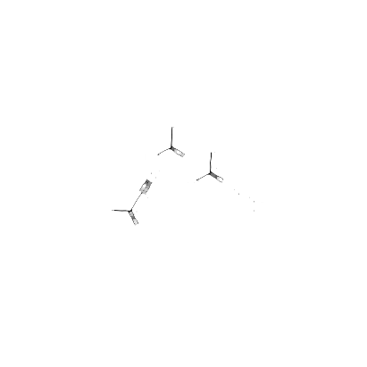 CC(=O)O.CC(=O)O.N#CC(=O)O.[NaH].[NaH]